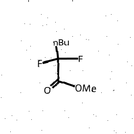 [CH2]CCCC(F)(F)C(=O)OC